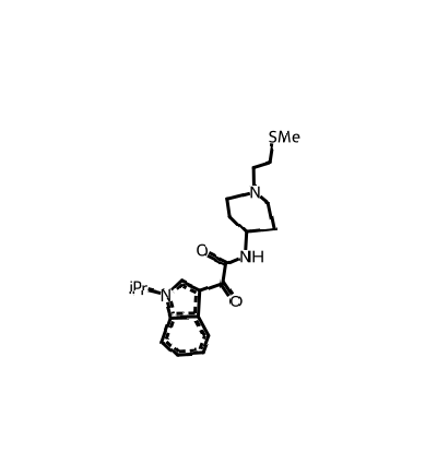 CSCCN1CCC(NC(=O)C(=O)c2cn(C(C)C)c3ccccc23)CC1